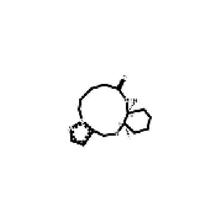 O=C1CCCCn2nccc2CO[C@@H]2CCCC[C@@H]2N1